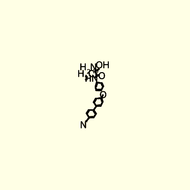 C[C@](N)(CO)C(=O)Nc1ccc(Oc2ccc(-c3ccc(C#N)cc3)cc2)cc1